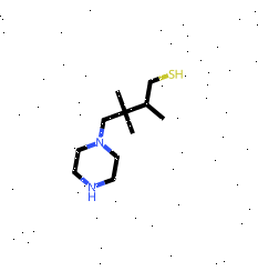 CC(CS)C(C)(C)CN1CCNCC1